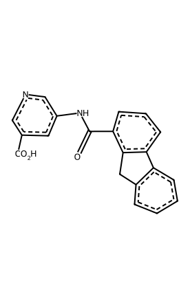 O=C(O)c1cncc(NC(=O)c2cccc3c2Cc2ccccc2-3)c1